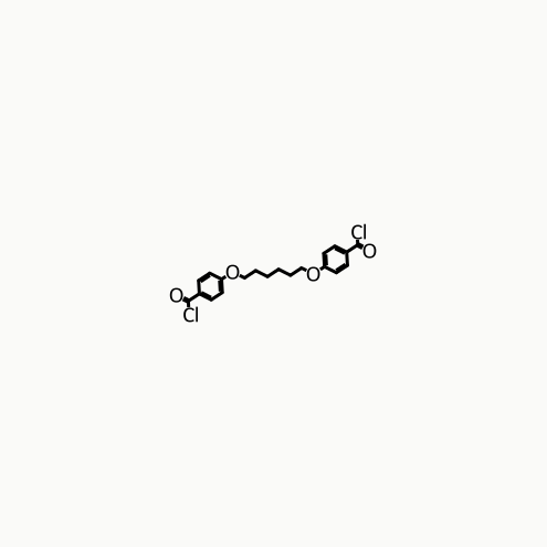 O=C(Cl)c1ccc(OCCCCCCOc2ccc(C(=O)Cl)cc2)cc1